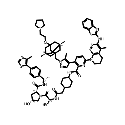 Cc1ncsc1-c1ccc([C@H](C)NC(=O)[C@@H]2C[C@@H](O)CN2C(=O)[C@@H](NC(=O)CC2CCC(NC(=O)c3nc(N4CCCc5c4nnc(Nc4nc6ccccc6s4)c5C)ccc3-c3cnn(CC45CC6(OCCN7CCCC7)C[C@](C)(C4)C[C@](C)(C5)C6)c3C)CC2)C(C)(C)C)cc1